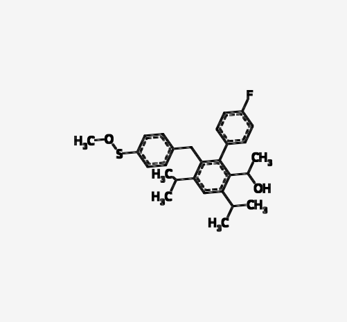 COSc1ccc(Cc2c(C(C)C)cc(C(C)C)c(C(C)O)c2-c2ccc(F)cc2)cc1